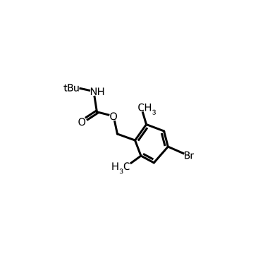 Cc1cc(Br)cc(C)c1COC(=O)NC(C)(C)C